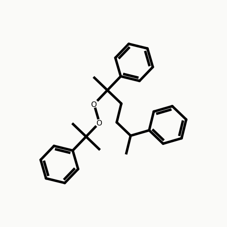 CC(CCC(C)(OOC(C)(C)c1ccccc1)c1ccccc1)c1ccccc1